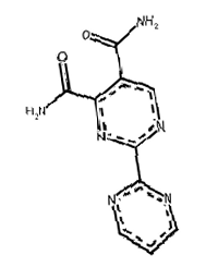 NC(=O)c1cnc(-c2ncccn2)nc1C(N)=O